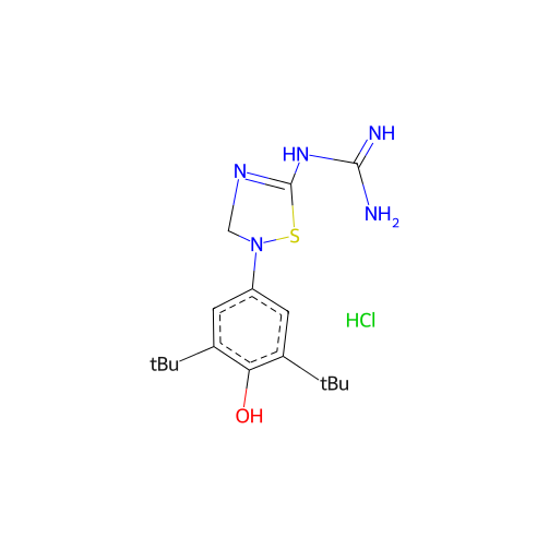 CC(C)(C)c1cc(N2CN=C(NC(=N)N)S2)cc(C(C)(C)C)c1O.Cl